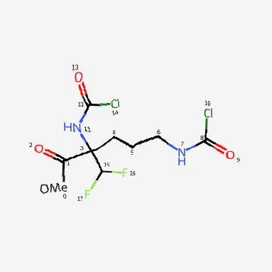 COC(=O)C(CCCNC(=O)Cl)(NC(=O)Cl)C(F)F